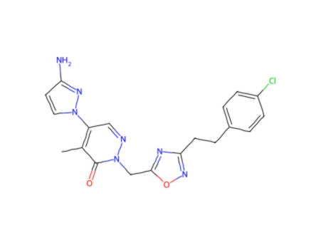 Cc1c(-n2ccc(N)n2)cnn(Cc2nc(CCc3ccc(Cl)cc3)no2)c1=O